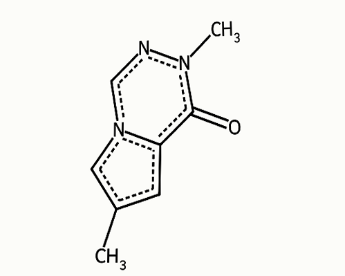 Cc1cc2c(=O)n(C)ncn2c1